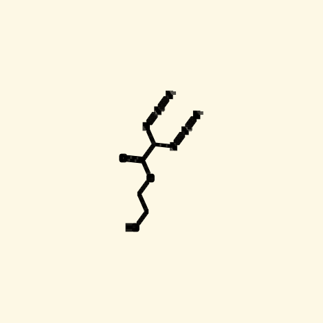 [N-]=[N+]=NC(N=[N+]=[N-])C(=O)OCCO